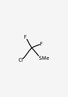 [CH2]SC(F)(F)Cl